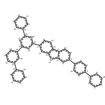 c1ccc(-c2ccc(-c3ccc4c(c3)oc3cc(-c5nc(-c6ccccc6)nc(-c6cccc(-c7ccccc7)c6)n5)ccc34)cc2)cc1